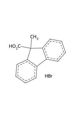 Br.CC1(C(=O)O)c2ccccc2-c2ccccc21